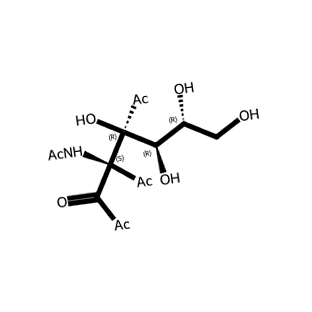 CC(=O)N[C@@](C(C)=O)(C(=O)C(C)=O)[C@](O)(C(C)=O)[C@H](O)[C@H](O)CO